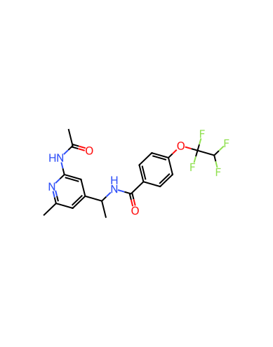 CC(=O)Nc1cc(C(C)NC(=O)c2ccc(OC(F)(F)C(F)F)cc2)cc(C)n1